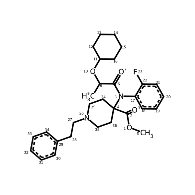 COC(=O)C1(N(C(=O)C(C)OC2CCCCC2)c2ccccc2F)CCN(CCc2ccccc2)CC1